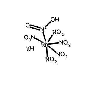 O=[N+]([O-])[Rh]([N+](=O)[O-])([N+](=O)[O-])([N+](=O)[O-])([N+](=O)[O-])[N+](=O)O.[KH]